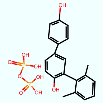 Cc1cccc(C)c1-c1cc(-c2ccc(O)cc2)ccc1O.O=P(O)(O)OP(=O)(O)O